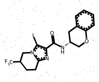 O=C(N[C@H]1COc2ccccc2C1)c1nc2n(c1I)CC(C(F)(F)F)CC2